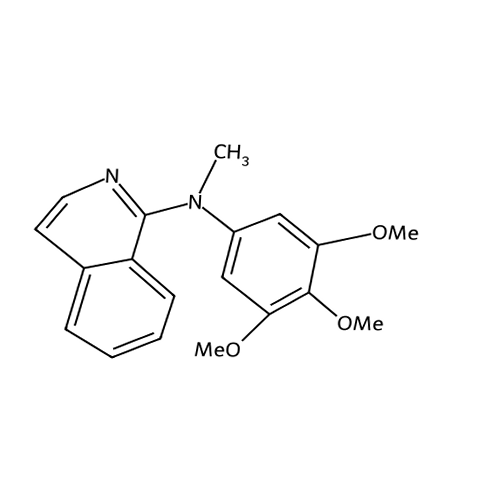 COc1cc(N(C)c2nccc3ccccc23)cc(OC)c1OC